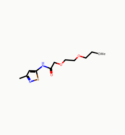 COCCOCCOCC(=O)Nc1cc(C)ns1